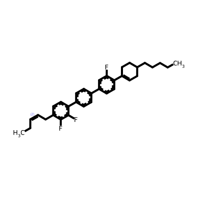 CC/C=C\Cc1ccc(-c2ccc(-c3ccc(C4=CCC(CCCCC)CC4)c(F)c3)cc2)c(F)c1F